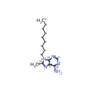 CCCCCCCCCn1c(C)nc2c(N)ncnc21